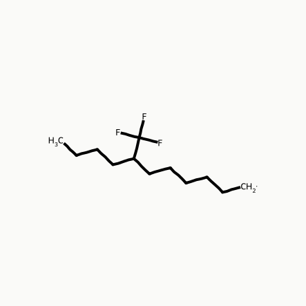 [CH2]CCCCCC(CCCC)C(F)(F)F